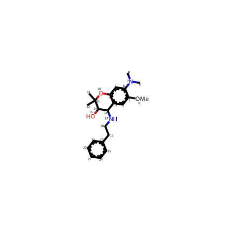 COc1cc2c(cc1N(C)C)OC(C)(C)C(O)C2NCCc1ccccc1